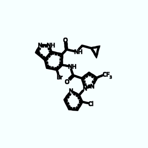 O=C(NCC1CC1)c1c(NC(=O)c2cc(C(F)(F)F)nn2-c2ncccc2Cl)c(Br)cc2cn[nH]c12